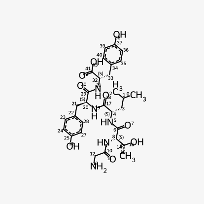 CC(C)C[C@H](NC(=O)[C@@H](NC(=O)CN)[C@@H](C)O)C(=O)N[C@@H](Cc1ccc(O)cc1)C(=O)N[C@@H](Cc1ccc(O)cc1)C(=O)O